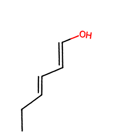 CCC=CC=CO